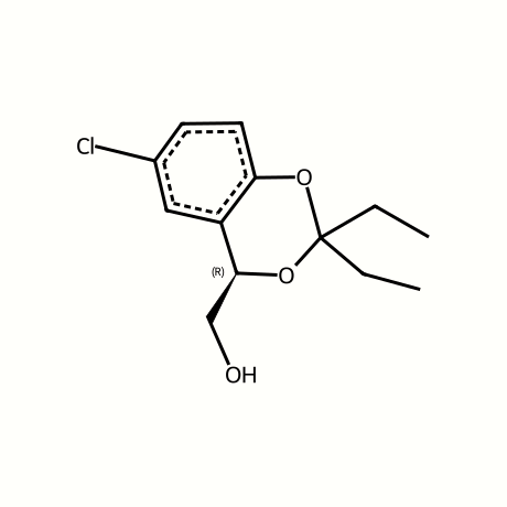 CCC1(CC)Oc2ccc(Cl)cc2[C@H](CO)O1